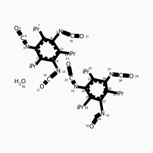 CC(C)c1c(N=C=O)c(C(C)C)c(N=C=O)c(C(C)C)c1N=C=O.CC(C)c1c(N=C=O)c(C(C)C)c(N=C=O)c(C(C)C)c1N=C=O.O